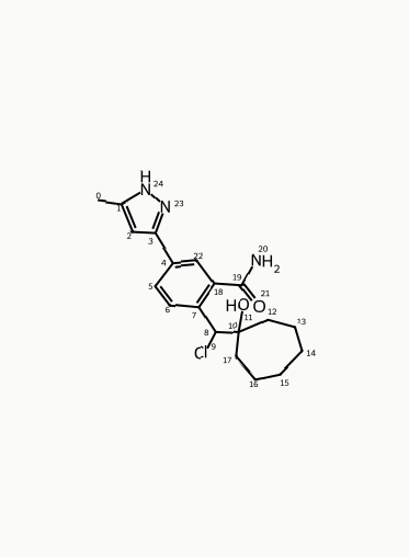 Cc1cc(-c2ccc(C(Cl)C3(O)CCCCCC3)c(C(N)=O)c2)n[nH]1